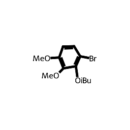 COc1ccc(Br)c(OCC(C)C)c1OC